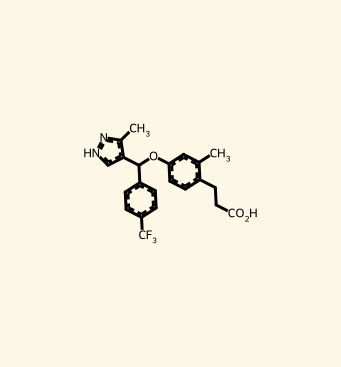 Cc1cc(OC(c2ccc(C(F)(F)F)cc2)c2c[nH]nc2C)ccc1CCC(=O)O